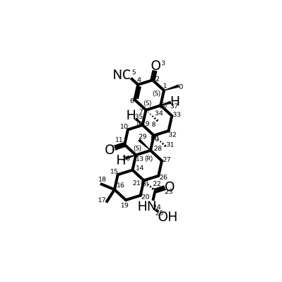 C[C@@H]1C(=O)C(C#N)=C[C@]2(C)[C@H]3CC(=O)[C@H]4C5CC(C)(C)CC[C@]5(C(=O)NO)CC[C@@]4(C)[C@]3(C)CC[C@@H]12